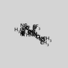 C[C@@H]1CN(C2CCC(n3cc(Nc4ncc(-c5ccc(C#N)c(O[C@@H](C)Cn6cnnn6)c5)cn4)c(OCCOC(F)(F)F)n3)CC2)C[C@H](C)O1